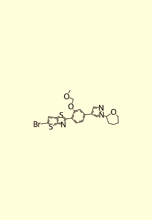 COCOc1cc(-c2cnn(C3CCCCO3)c2)ccc1-c1nc2sc(Br)cc2s1